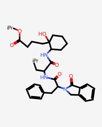 CC(C)CC(NC(=O)C(Cc1ccccc1)N1Cc2ccccc2C1=O)C(=O)NC1CCCCC1(O)CCCC(=O)OC(C)C